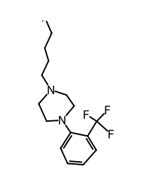 [CH2]CCCCN1CCN(c2ccccc2C(F)(F)F)CC1